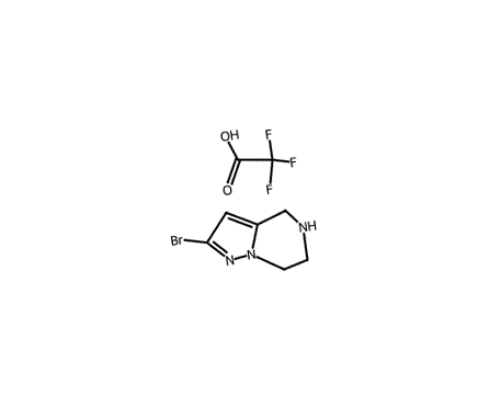 Brc1cc2n(n1)CCNC2.O=C(O)C(F)(F)F